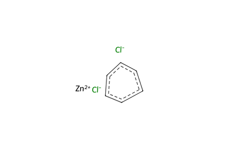 [Cl-].[Cl-].[Zn+2].c1ccccc1